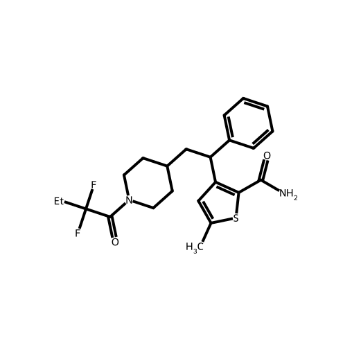 CCC(F)(F)C(=O)N1CCC(CC(c2ccccc2)c2cc(C)sc2C(N)=O)CC1